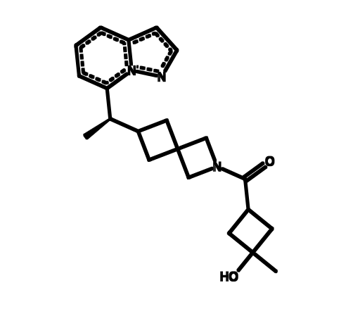 C[C@@H](c1cccc2ccnn12)C1CC2(C1)CN(C(=O)C1CC(C)(O)C1)C2